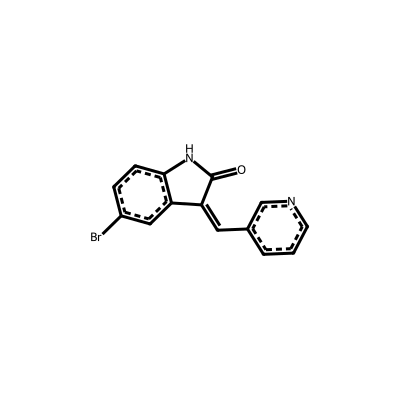 O=C1Nc2ccc(Br)cc2C1=Cc1cccnc1